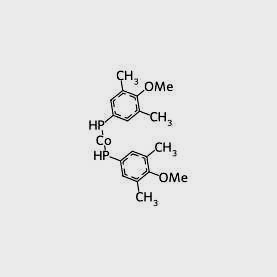 COc1c(C)cc([PH][Co][PH]c2cc(C)c(OC)c(C)c2)cc1C